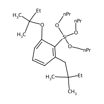 CCCO[Si](OCCC)(OCCC)c1c(CC(C)(C)CC)cccc1OC(C)(C)CC